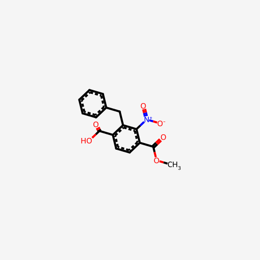 COC(=O)c1ccc(C(=O)O)c(Cc2ccccc2)c1[N+](=O)[O-]